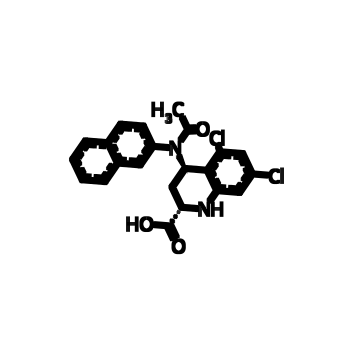 CC(=O)N(c1ccc2ccccc2c1)[C@@H]1C[C@@H](C(=O)O)Nc2cc(Cl)cc(Cl)c21